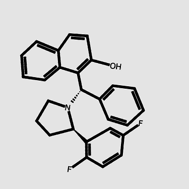 Oc1ccc2ccccc2c1[C@H](c1ccccc1)N1CCC[C@@H]1c1cc(F)ccc1F